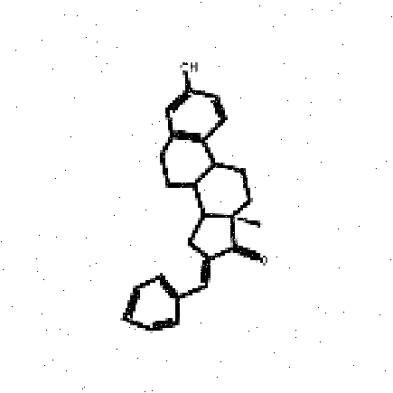 C[C@]12CCC3c4ccc(O)cc4CCC3C1C/C(=C\c1ccccc1)C2=O